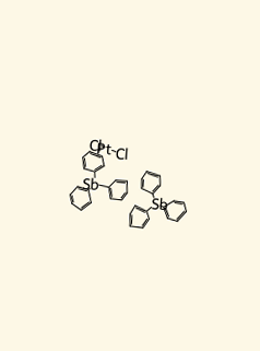 [Cl][Pt][Cl].c1cc[c]([Sb]([c]2ccccc2)[c]2ccccc2)cc1.c1cc[c]([Sb]([c]2ccccc2)[c]2ccccc2)cc1